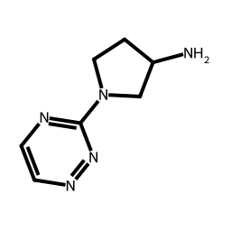 NC1CCN(c2nccnn2)C1